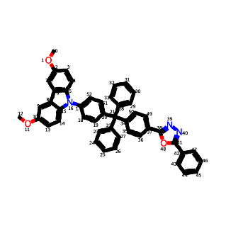 COc1ccc2c(c1)c1cc(OC)ccc1n2-c1ccc(C(c2ccccc2)(c2ccccc2)c2ccc(-c3nnc(-c4ccccc4)o3)cc2)cc1